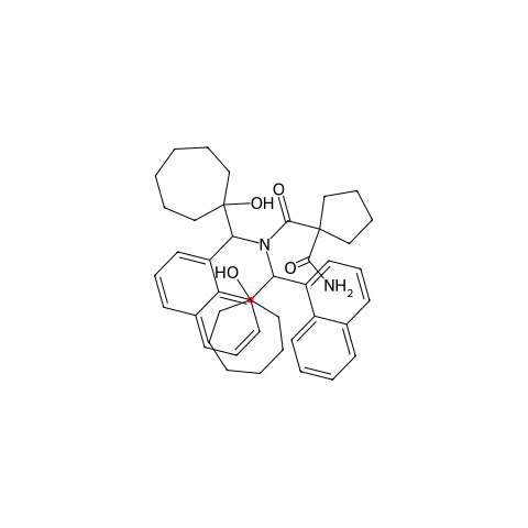 NC(=O)C1(C(=O)N(C(c2cccc3ccccc23)C2(O)CCCCCC2)C(c2cccc3ccccc23)C2(O)CCCCCC2)CCCC1